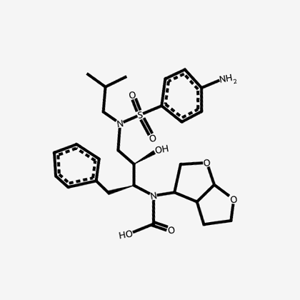 CC(C)CN(C[C@@H](O)[C@H](Cc1ccccc1)N(C(=O)O)C1COC2OCCC21)S(=O)(=O)c1ccc(N)cc1